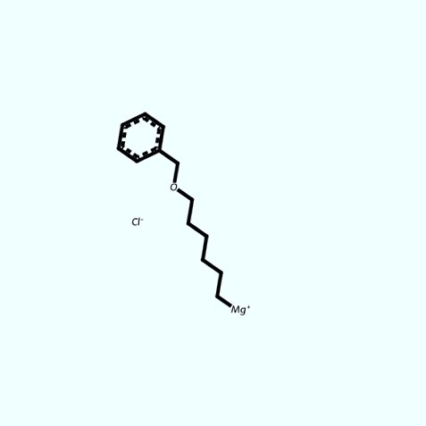 [Cl-].[Mg+][CH2]CCCCCOCc1ccccc1